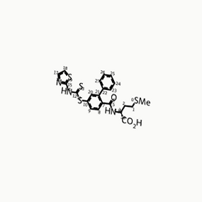 CSCC[C@H](NC(=O)c1ccc(SC(=S)Nc2nccs2)cc1-c1ccccc1)C(=O)O